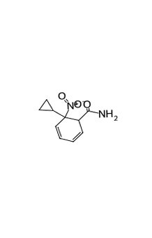 NC(=O)C1C=CC=CC1(C1CC1)[N+](=O)[O-]